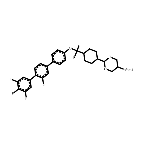 CCCCCC1COC(C2CCC(C(F)(F)Oc3ccc(-c4ccc(-c5cc(F)c(F)c(F)c5)c(F)c4)cc3)CC2)OC1